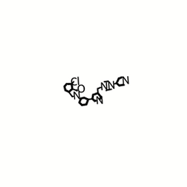 O=C1c2c(Cl)cccc2CN1c1cccc(-c2cncc(CN3CCN(c4ccncc4)CC3)c2)c1